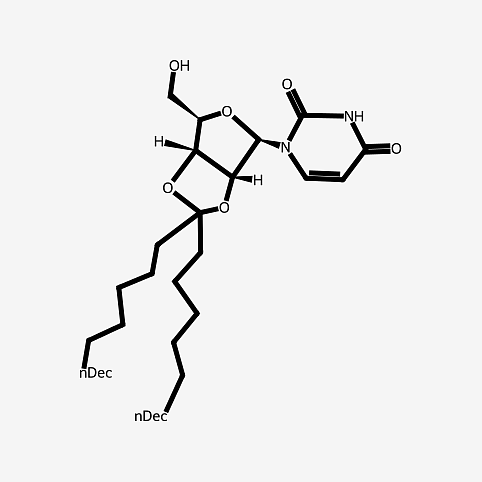 CCCCCCCCCCCCCCCC1(CCCCCCCCCCCCCCC)O[C@@H]2[C@H](O1)[C@@H](CO)O[C@H]2n1ccc(=O)[nH]c1=O